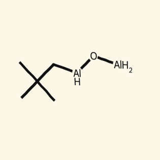 CC(C)(C)[CH2][AlH][O][AlH2]